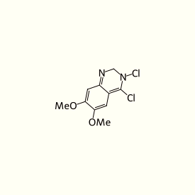 COc1cc2c(cc1OC)=C(Cl)N(Cl)CN=2